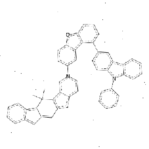 CC1(C)C2=c3ccccc3=CC2=Cc2cc3ccn(-c4ccc5oc6cccc(-c7ccc8c(c7)c7ccccc7n8-c7ccccc7)c6c5c4)cc-3c21